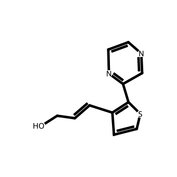 OC/C=C/c1ccsc1-c1cnccn1